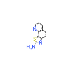 Nc1nc2ccc3cccnc3c2s1